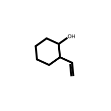 C=CC1CCCCC1O